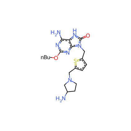 CCCCOc1nc(N)c2[nH]c(=O)n(Cc3ccc(CN4CCC(N)C4)s3)c2n1